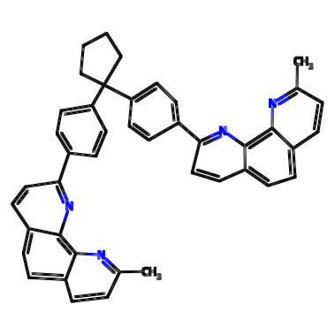 Cc1ccc2ccc3ccc(-c4ccc(C5(c6ccc(-c7ccc8ccc9ccc(C)nc9c8n7)cc6)CCCC5)cc4)nc3c2n1